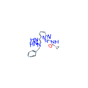 O=C(Nc1nc2cccc(C3=CN(Cc4ccccc4)NN3)n2n1)C1CC1